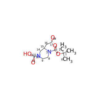 CC(C)(C)OC(=O)N1CCN(C(=O)O)CC1CC=O